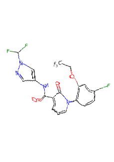 O=C(Nc1cnn(C(F)F)c1)c1cccn(-c2ccc(F)cc2OCC(F)(F)F)c1=O